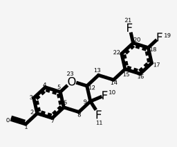 C=Cc1ccc2c(c1)CC(F)(F)C(CCc1ccc(F)c(F)c1)O2